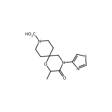 CC1OC2(CCN(C(=O)O)CC2)CN(c2cscn2)C1=O